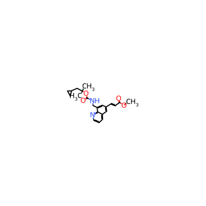 COC(=O)C=Cc1cc(CNC(=O)OC(C)(C)CC2CC2)c2ncccc2c1